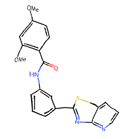 COc1ccc(C(=O)Nc2cccc(-c3nc4ncccc4s3)c2)c(OC)c1